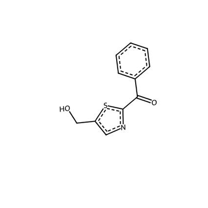 O=C(c1ccccc1)c1ncc(CO)s1